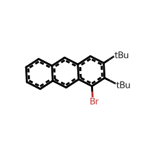 CC(C)(C)c1cc2cc3ccccc3cc2c(Br)c1C(C)(C)C